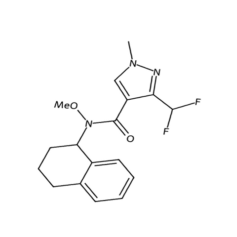 CON(C(=O)c1cn(C)nc1C(F)F)C1CCCc2ccccc21